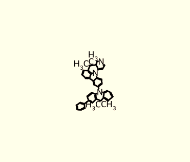 CC1(C)c2ccccc2N(c2ccc3c(c2)c2cccc4c2n3C2=CC=NCC2C4(C)C)c2ccc(-c3ccccc3)cc21